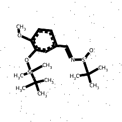 COc1ccc(/C=N/[S+]([O-])C(C)(C)C)cc1O[Si](C)(C)C(C)(C)C